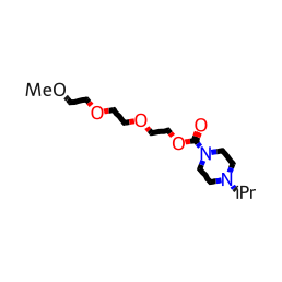 COCCOCCOCCOC(=O)N1CCN(C(C)C)CC1